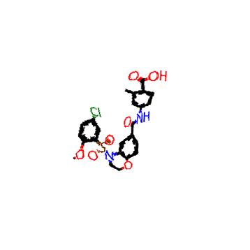 COc1ccc(Cl)cc1S(=O)(=O)N1CCOc2ccc(C(=O)Nc3ccc(C(=O)O)c(C)c3)cc21